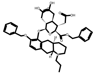 CCCN1CCC[C@@H]2Cc3c(ccc(OCc4ccccc4)c3O[C@@H]3O[C@H](C(=O)OCc4ccccc4)[C@@H](CC(=O)O)[C@H](CC(=O)O)[C@H]3CC(=O)O)C[C@H]21